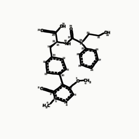 COc1cnn(C)c(=O)c1-c1ccc(C[C@H](NC(=O)N(CCO)c2ccccc2)C(=O)O)cc1